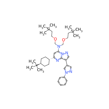 CC(C)(C)[C@H]1CC[C@H](c2cc(N(COCC[Si](C)(C)C)COCC[Si](C)(C)C)n3ncc(-c4cnn(-c5ccccc5)c4)c3n2)CC1